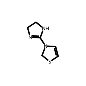 C1=CN(C2=NCCN2)CS1